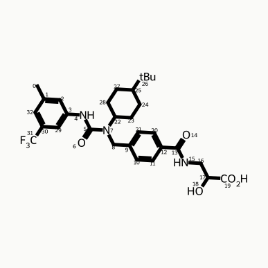 Cc1cc(NC(=O)N(Cc2ccc(C(=O)NCC(O)C(=O)O)cc2)C2CCC(C(C)(C)C)CC2)cc(C(F)(F)F)c1